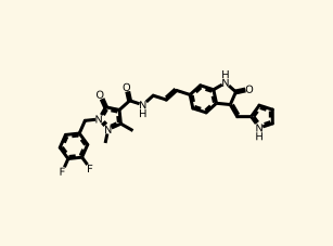 Cc1c(C(=O)NC/C=C/c2ccc3c(c2)NC(=O)/C3=C\c2ccc[nH]2)c(=O)n(Cc2ccc(F)c(F)c2)n1C